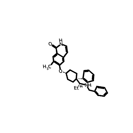 CC[C@@H](NCc1ccccc1)[C@]1(c2ccccc2)CC[C@@H](Oc2cc3cc[nH]c(=O)c3cc2C)CC1